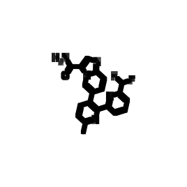 Cc1ccc(-c2ccc3ncc(C(N)=O)n3c2)c(-c2cccc(C(F)F)n2)n1